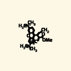 C=C/C=C(\C(=C/C)C(=O)OC)c1c2ccc(=[N+](C)C)cc-2oc2cc(N(C)C)ccc12